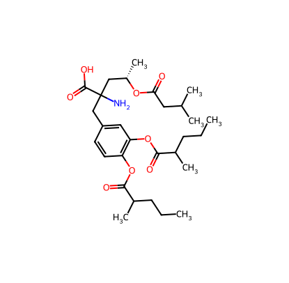 CCCC(C)C(=O)Oc1ccc(CC(N)(C[C@H](C)OC(=O)CC(C)C)C(=O)O)cc1OC(=O)C(C)CCC